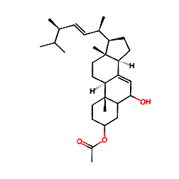 CC(=O)OC1CC[C@@]2(C)C(C1)C(O)C=C1[C@@H]3CC[C@H]([C@H](C)/C=C/[C@H](C)C(C)C)[C@@]3(C)CC[C@@H]12